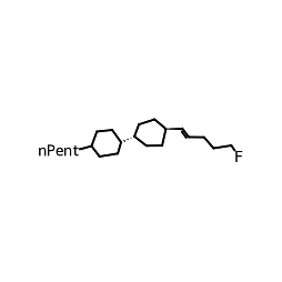 CCCCCC1CCC([C@H]2CC[C@H](/C=C/CCCF)CC2)CC1